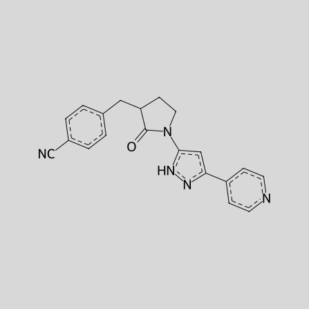 N#Cc1ccc(CC2CCN(c3cc(-c4ccncc4)n[nH]3)C2=O)cc1